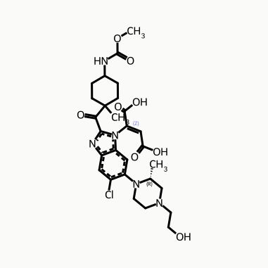 COC(=O)NC1CCC(C)(C(=O)c2nc3cc(Cl)c(N4CCN(CCO)C[C@H]4C)cc3n2/C(=C\C(=O)O)C(=O)O)CC1